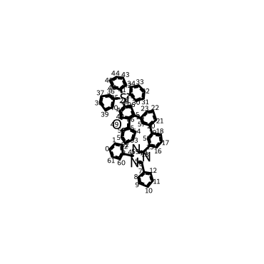 c1ccc(-c2nc(-c3ccccc3)nc(-c3cccc(-c4cccc(-c5cc([Si](c6ccccc6)(c6ccccc6)c6ccccc6)cc6oc7ccccc7c56)c4)c3)n2)cc1